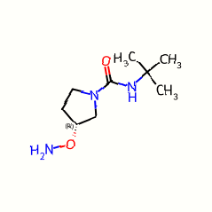 CC(C)(C)NC(=O)N1CC[C@@H](ON)C1